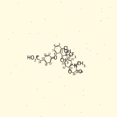 CC(c1c(Cl)cccc1Oc1ccc(CC(=O)O)cc1)C(O)(c1ccc2c(c1)N(C)C(=O)CO2)C(F)(F)F